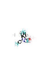 CC(C)(C)C#CC(c1ccc(C(F)(F)F)cc1)N1CCC(F)(F)C(CC(=O)O)C1c1ccc(C(F)(F)F)cc1